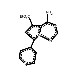 CCOC(=O)c1cc(-c2ccncc2)n2ncnc(N)c12